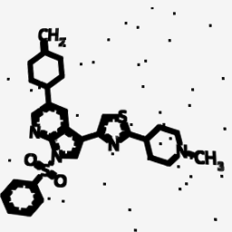 C=C1CCC(c2cnc3c(c2)c(-c2csc(C4CCN(C)CC4)n2)cn3S(=O)(=O)c2ccccc2)CC1